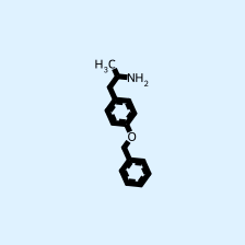 CC(N)Cc1ccc(OCc2ccccc2)cc1